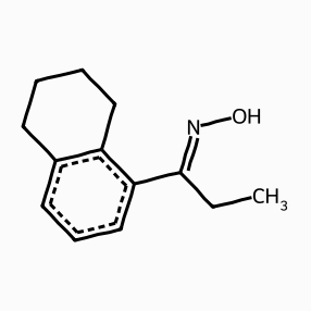 CCC(=NO)c1cccc2c1CCCC2